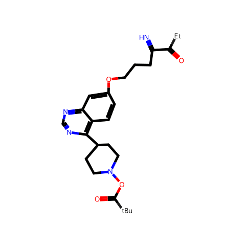 CCC(=O)C(=N)CCCOc1ccc2c(C3CCN(OC(=O)C(C)(C)C)CC3)ncnc2c1